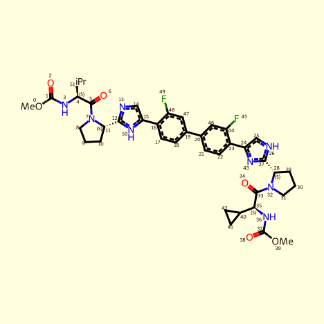 COC(=O)N[C@H](C(=O)N1CCC[C@H]1c1ncc(-c2ccc(-c3ccc(-c4c[nH]c([C@@H]5CCCN5C(=O)[C@@H](NC(=O)OC)C5CC5)n4)c(F)c3)cc2F)[nH]1)C(C)C